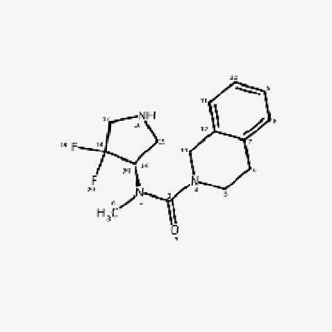 CN(C(=O)N1CCc2ccccc2C1)[C@@H]1CNCC1(F)F